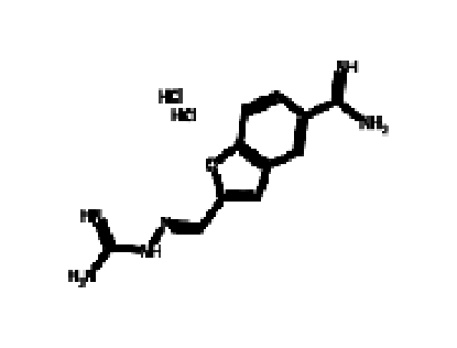 Cl.Cl.N=C(N)NN=Cc1cc2cc(C(=N)N)ccc2o1